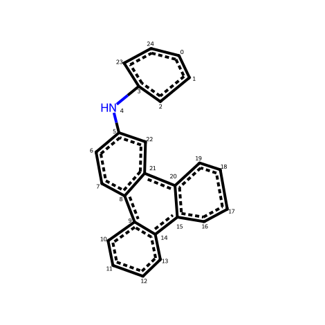 c1ccc(Nc2ccc3c4ccccc4c4ccccc4c3c2)cc1